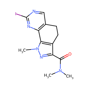 CN(C)C(=O)c1nn(C)c2c1CCc1cnc(I)nc1-2